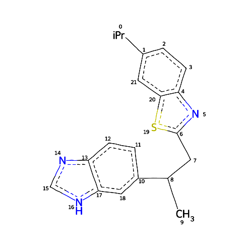 CC(C)c1ccc2nc(CC(C)c3ccc4nc[nH]c4c3)sc2c1